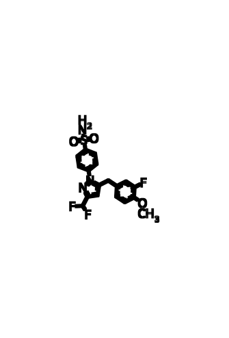 COc1ccc(Cc2cc(C(F)F)nn2-c2ccc(S(N)(=O)=O)cc2)cc1F